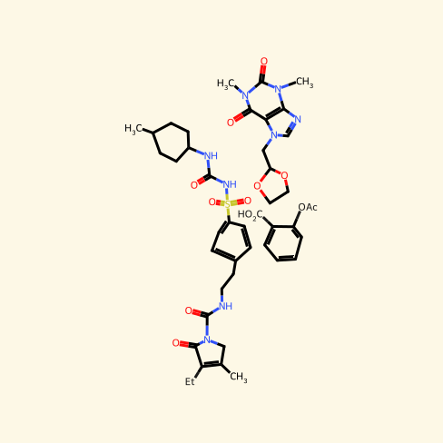 CC(=O)Oc1ccccc1C(=O)O.CCC1=C(C)CN(C(=O)NCCc2ccc(S(=O)(=O)NC(=O)NC3CCC(C)CC3)cc2)C1=O.Cn1c(=O)c2c(ncn2CC2OCCO2)n(C)c1=O